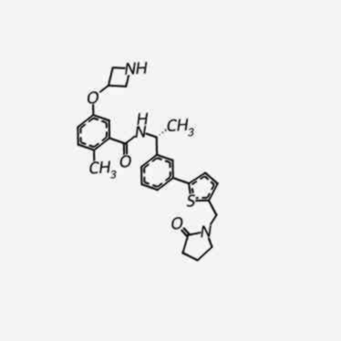 Cc1ccc(OC2CNC2)cc1C(=O)N[C@H](C)c1cccc(-c2ccc(CN3CCCC3=O)s2)c1